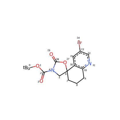 CC(C)(C)OC(=O)N1CC2(CCCc3ncc(Br)cc32)OC1=O